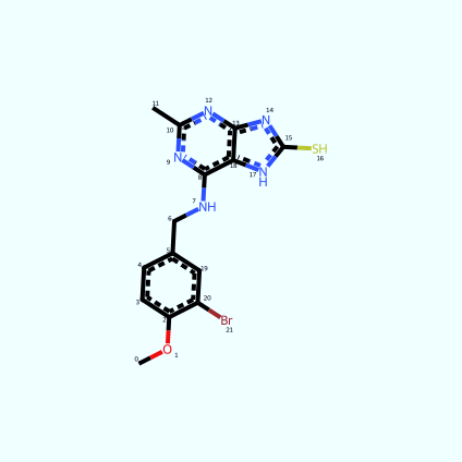 COc1ccc(CNc2nc(C)nc3nc(S)[nH]c23)cc1Br